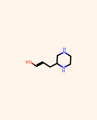 OC=CCC1CNCCN1